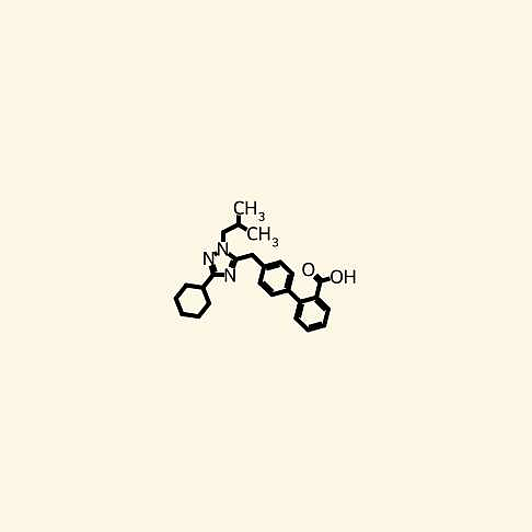 CC(C)Cn1nc(C2CCCCC2)nc1Cc1ccc(-c2ccccc2C(=O)O)cc1